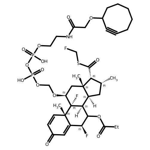 CCC(=O)OC1[C@@H]2[C@@H]3C[C@@H](C)[C@@H](C(=O)SCF)[C@@]3(C)C[C@H](OCOP(=O)(O)OP(=O)(O)OCCNC(=O)COC3C#CCCCCC3)[C@]2(F)[C@@]2(C)C=CC(=O)C=C2[C@@H]1F